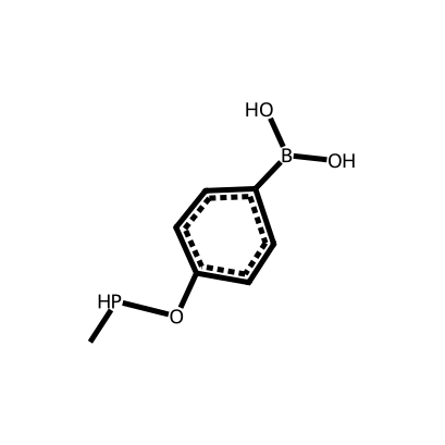 CPOc1ccc(B(O)O)cc1